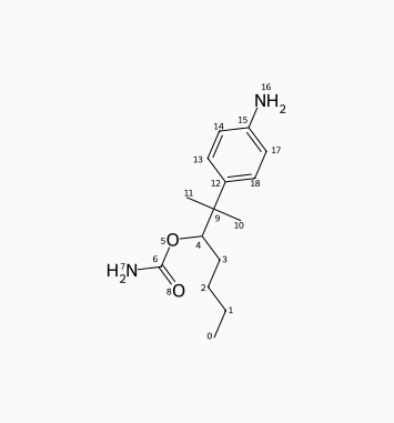 CCCCC(OC(N)=O)C(C)(C)c1ccc(N)cc1